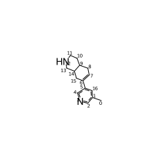 Cc1cncc(C2=CCC3CCNCC3C2)c1